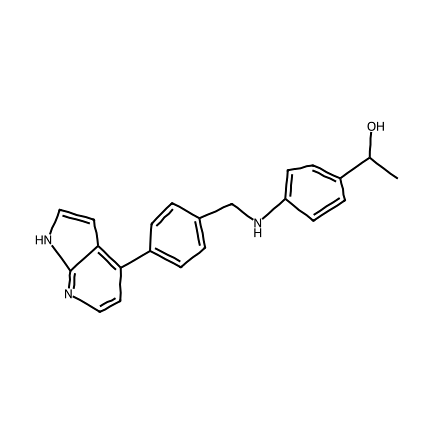 CC(O)c1ccc(NCc2ccc(-c3ccnc4[nH]ccc34)cc2)cc1